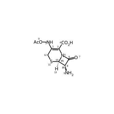 CC(=O)ONC1=C(C(=O)O)N2C(=O)[C@@H](N)[C@H]2SC1